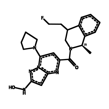 C[C@@H]1c2ccccc2C(CCF)CN1C(=O)c1cc(N2CCCC2)n2nc(BO)cc2n1